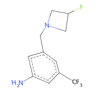 Nc1cc(CN2CC(F)C2)cc(C(F)(F)F)c1